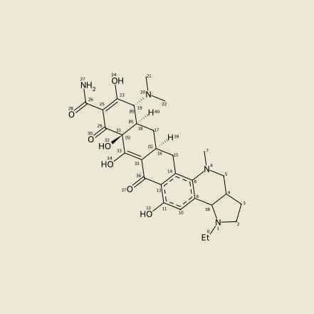 CCN1CCC2CN(C)c3c(cc(O)c4c3C[C@@H]3C[C@@H]5[C@@H](N(C)C)C(O)=C(C(N)=O)C(=O)[C@@]5(O)C(O)=C3C4=O)C21